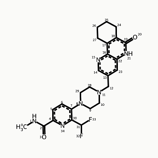 CNC(=O)c1ccc(N2CCN(Cc3cnc4c5c(c(=O)[nH]c4c3)CCCC5)CC2)c(C(F)F)n1